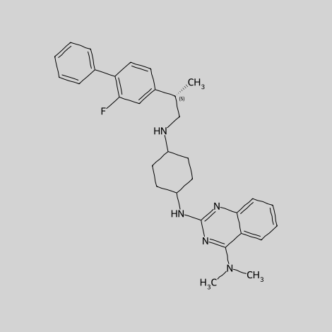 C[C@H](CNC1CCC(Nc2nc(N(C)C)c3ccccc3n2)CC1)c1ccc(-c2ccccc2)c(F)c1